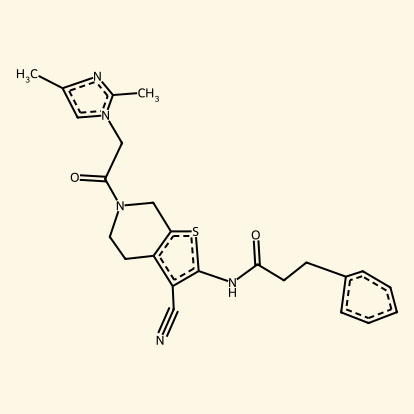 Cc1cn(CC(=O)N2CCc3c(sc(NC(=O)CCc4ccccc4)c3C#N)C2)c(C)n1